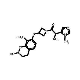 Cn1cncc1C(N)C(=O)N1CC(Oc2ccc3c(c2C(=O)O)OB(O)CC3)C1